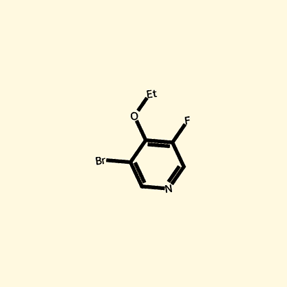 CCOc1c(F)cncc1Br